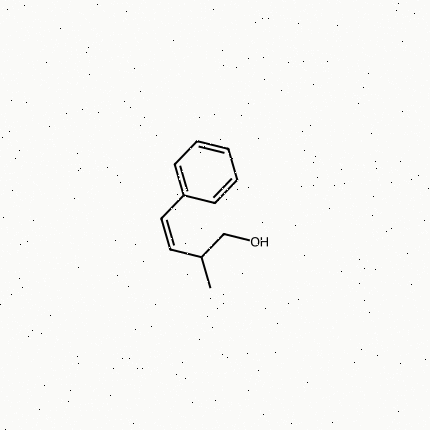 CC(/C=C\c1ccccc1)CO